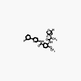 C[C@H](C(=O)Nc1cc(C(=O)Nc2ccc(-c3cccc(F)c3)nc2)ccc1OC(F)(F)F)N1C[C@@H]2C[C@H]1CO2